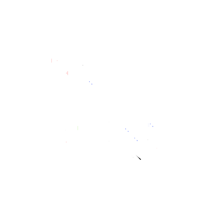 CNC(=O)N1N=C(c2ccc(N3CC4(CCS4(O)O)C3)cc2)c2cc(OC(F)(F)F)ccc2C[C@@H]1C